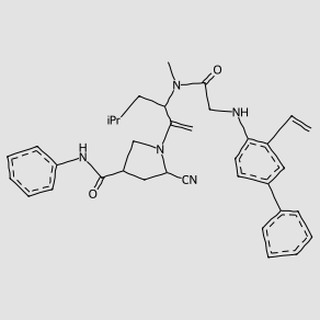 C=Cc1cc(-c2ccccc2)ccc1NCC(=O)N(C)C(CC(C)C)C(=C)N1CC(C(=O)Nc2ccccc2)CC1C#N